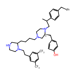 CC(C)Cc1ccc(C(C)CN2CCN(CCCCC3CNCCN3CCc3cc(C(F)(F)F)cc(C(F)(F)F)c3)C[C@@H]2Cc2ccc(O)cc2)cc1